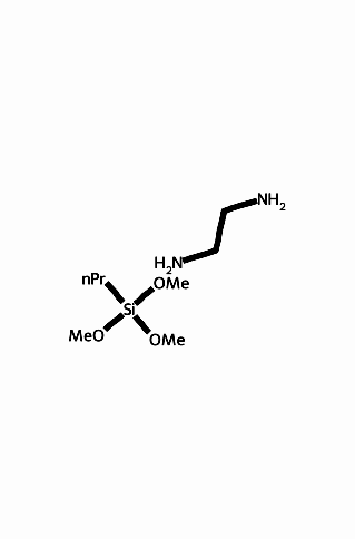 CCC[Si](OC)(OC)OC.NCCN